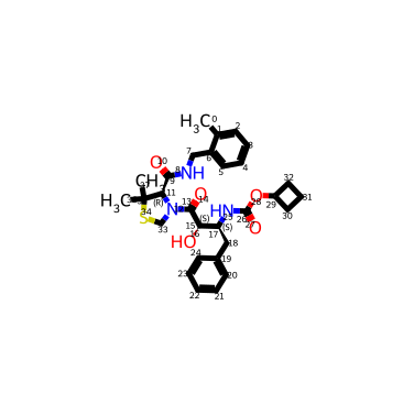 Cc1ccccc1CNC(=O)[C@H]1N(C(=O)[C@@H](O)[C@H](Cc2ccccc2)NC(=O)OC2CCC2)CSC1(C)C